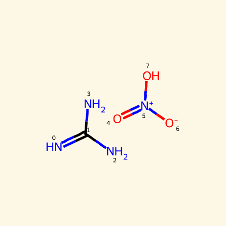 N=C(N)N.O=[N+]([O-])O